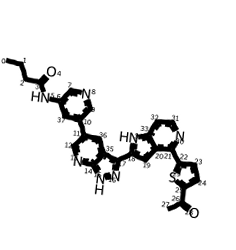 CCCC(=O)Nc1cncc(-c2cnc3[nH]nc(-c4cc5c(-c6ccc(C(C)=O)s6)nccc5[nH]4)c3c2)c1